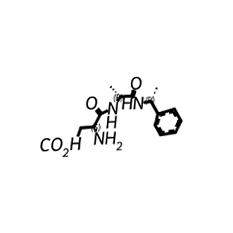 C[C@@H](NC(=O)[C@@H](N)CC(=O)O)C(=O)N[C@H](C)c1ccccc1